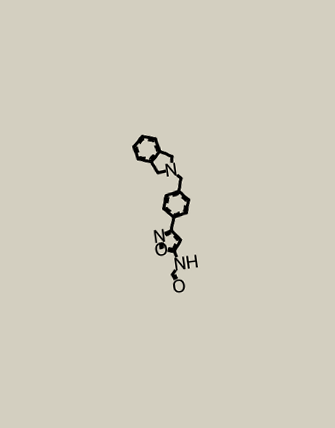 O=CNc1cc(-c2ccc(CN3Cc4ccccc4C3)cc2)no1